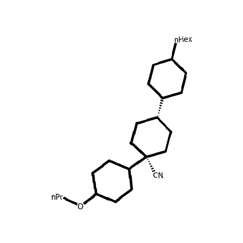 CCCCCCC1CCC([C@H]2CC[C@](C#N)(C3CCC(OCCC)CC3)CC2)CC1